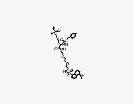 C=CC(=O)NCCCC[C@H](NC(=O)OCc1ccccc1)C(=O)NCCOCCOCCNS(=O)(=O)c1cccc2c(N(C)C)cccc12